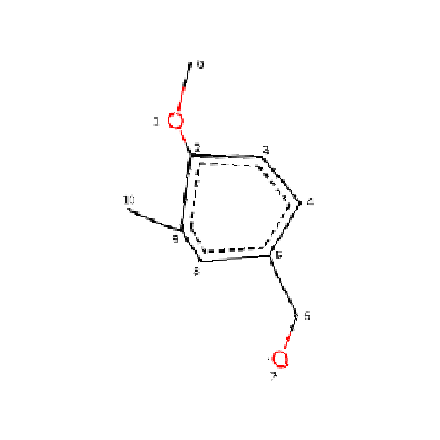 COc1ccc(C[O])cc1C